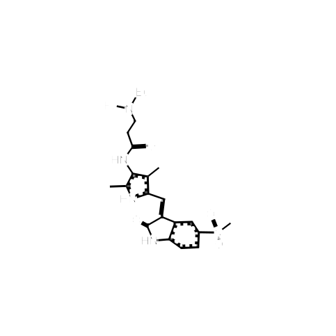 CCN(CC)CCC(=O)Nc1c(C)[nH]c(/C=C2\C(=O)Nc3ccc(S(C)(=O)=O)cc32)c1C